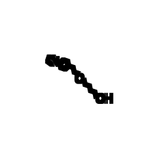 OCCCCCCOCCCc1ccc(N2CCCC2)cc1